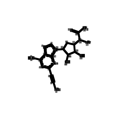 CCCCC#Cc1nc(N)c2ncn(C3CC(N(CCC)C(=O)C(F)(F)F)C(O)C3O)c2n1